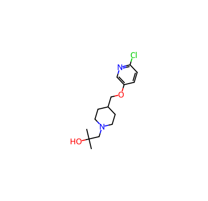 CC(C)(O)CN1CCC(COc2ccc(Cl)nc2)CC1